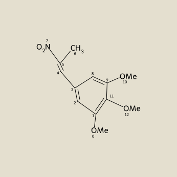 COc1cc(C=C(C)[N+](=O)[O-])cc(OC)c1OC